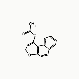 CC(=O)OC1=CCOc2ccc3ccccc3c21